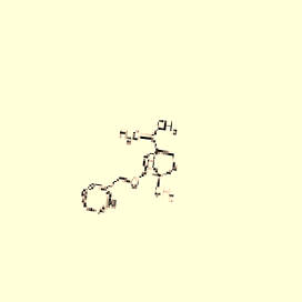 C=C(C)C12CCC(C)(O1)C(OCc1ccccn1)C2